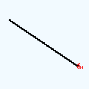 CCCCCCCCCCCCCCCCCCCCCCCCCCCCCCCCCCCCCCCCCCCCCCCCCCCCCCCCCCCCCC(=O)O